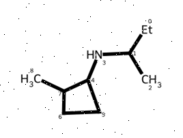 CCC(C)NC1CCC1C